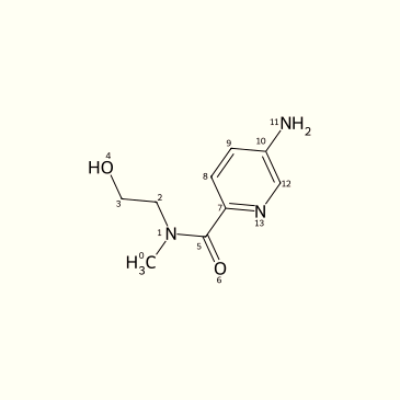 CN(CCO)C(=O)c1ccc(N)cn1